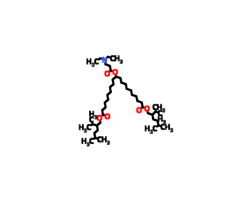 CCN(CC)CCC(=O)OC(CCCCCCCCCC(=O)OCC(CCC(C)C)C(C)C)CCCCCCCCCC(=O)OCC(CCC(C)C)C(C)C